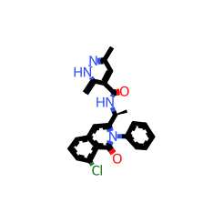 C=C1NN=C(C)C=C1C(=O)N[C@@H](C)c1cc2cccc(Cl)c2c(=O)n1-c1ccccc1